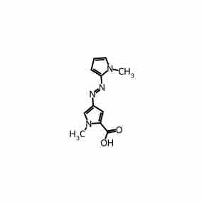 Cn1cccc1N=Nc1cc(C(=O)O)n(C)c1